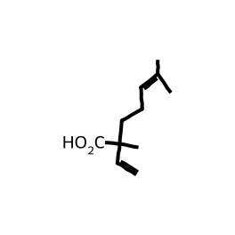 C=CC(C)(CCC=C(C)C)C(=O)O